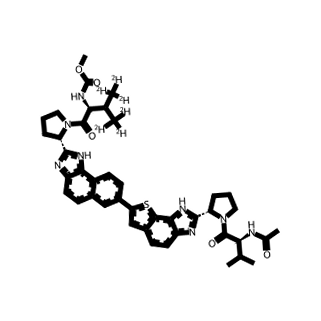 [2H]C([2H])([2H])C([C@H](NC(=O)OC)C(=O)N1CCC[C@H]1c1nc2ccc3cc(-c4cc5ccc6nc([C@@H]7CCCN7C(=O)[C@@H](NC(C)=O)C(C)C)[nH]c6c5s4)ccc3c2[nH]1)C([2H])([2H])[2H]